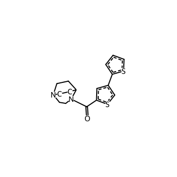 O=C(c1cc(-c2cccs2)cs1)N1CCN2CCC1CC2